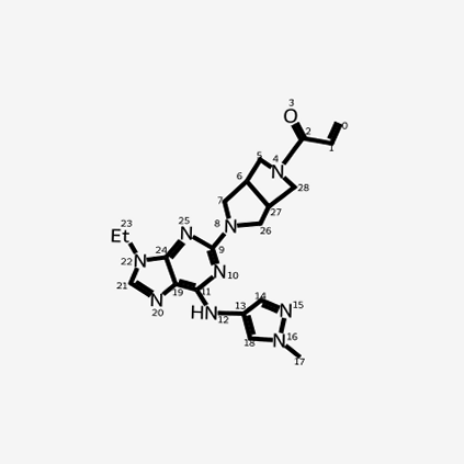 C=CC(=O)N1CC2CN(c3nc(Nc4cnn(C)c4)c4ncn(CC)c4n3)CC2C1